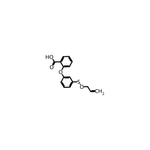 C=CCOSc1cccc(Oc2ccccc2C(=O)O)c1